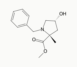 COC(=O)[C@@]1(C)C[C@@H](O)CN1Cc1ccccc1